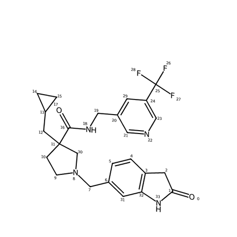 O=C1Cc2ccc(CN3CCC(CC4CC4)(C(=O)NCc4cncc(C(F)(F)F)c4)C3)cc2N1